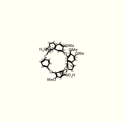 COc1cc(S(=O)(=O)O)c2cc1Oc1ccc(cc1)CC[C@H]1c3cc(c(OC)cc3CCN1C)Oc1c(OC)c(OC)cc3c1[C@H](C2)N(C)CC3